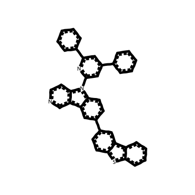 c1ccc(-c2cc(-c3ccccc3)nc(-n3c4ccncc4c4cc(-c5ccc6sc7ccccc7c6c5)ccc43)c2)cc1